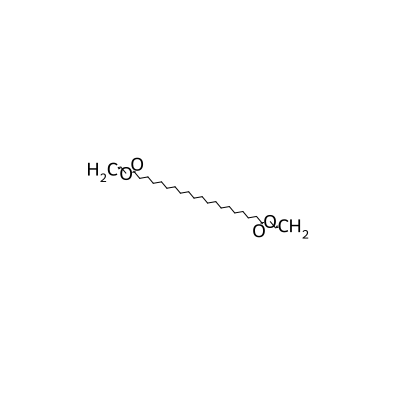 C=COC(=O)CCCCCCCCCCCCCCCCCCC(=O)OC=C